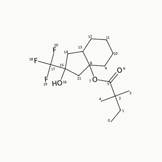 CCC(C)(C)C(=O)OC12CCCCC1CC(O)(C(F)(F)F)C2